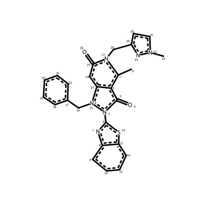 Cc1c2c(=O)n(-c3nc4ccccc4s3)n(Cc3ccccc3)c2cc(=O)n1Cc1ccn(C)n1